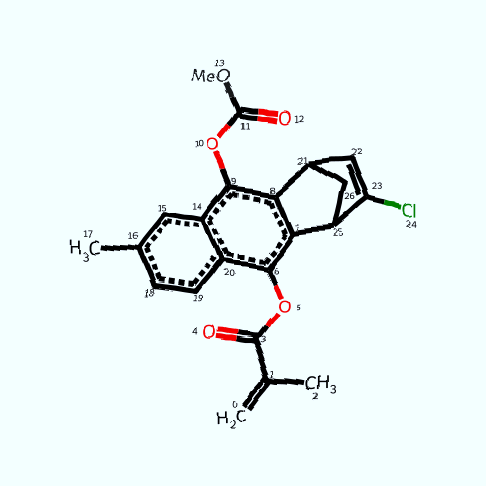 C=C(C)C(=O)Oc1c2c(c(OC(=O)OC)c3cc(C)ccc13)C1C=C(Cl)C2C1